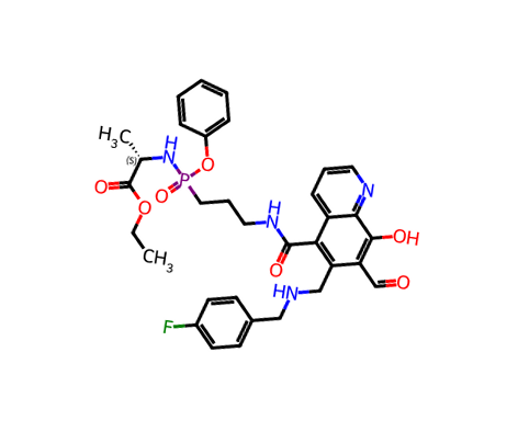 CCOC(=O)[C@H](C)NP(=O)(CCCNC(=O)c1c(CNCc2ccc(F)cc2)c(C=O)c(O)c2ncccc12)Oc1ccccc1